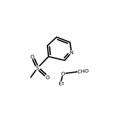 CCOC=O.CS(=O)(=O)c1cccnc1